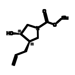 C=CC[C@@H]1CN(C(=O)OC(C)(C)C)C[C@H]1O